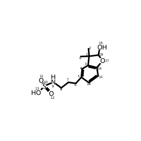 CC1(C)c2cc(CCCNS(=O)(=O)O)ccc2OC1O